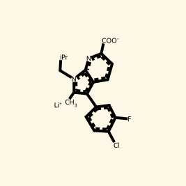 Cc1c(-c2ccc(Cl)c(F)c2)c2ccc(C(=O)[O-])nc2n1CC(C)C.[Li+]